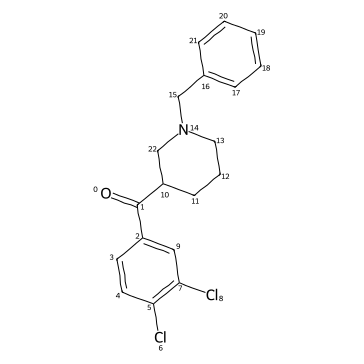 O=C(c1ccc(Cl)c(Cl)c1)C1CCCN(Cc2ccccc2)C1